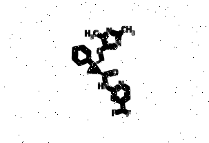 Cc1ncc(OC[C@@]2(C3C=CC=CC3)C[C@H]2C(=O)Nc2cc(C(F)F)ccn2)c(C)n1